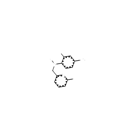 CC(C)N(Cc1cccc(C(F)(F)F)n1)c1ccc(C#N)cc1F